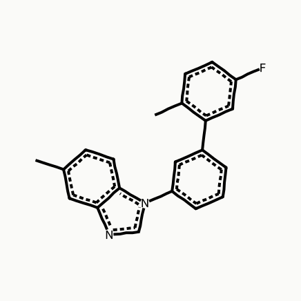 Cc1ccc2c(c1)ncn2-c1cccc(-c2cc(F)ccc2C)c1